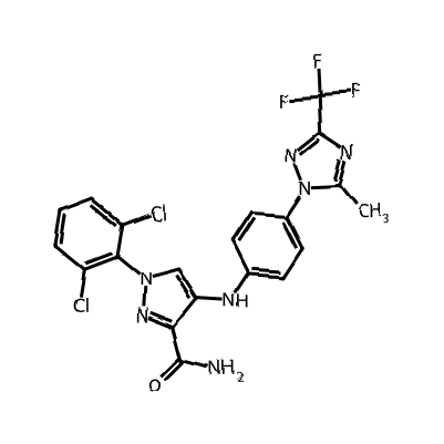 Cc1nc(C(F)(F)F)nn1-c1ccc(Nc2cn(-c3c(Cl)cccc3Cl)nc2C(N)=O)cc1